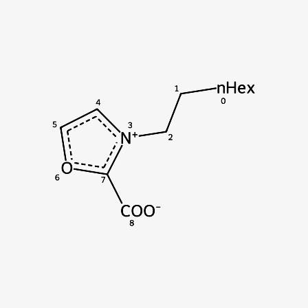 CCCCCCCC[n+]1ccoc1C(=O)[O-]